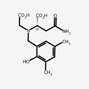 Cc1cc(C)c(O)c(CN(CC(=O)O)[C@@H](CC(N)=O)C(=O)O)c1